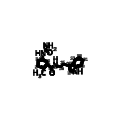 Cc1ccc(NC(N)=O)cc1C(=O)NCCc1c[nH]c2ccccc12